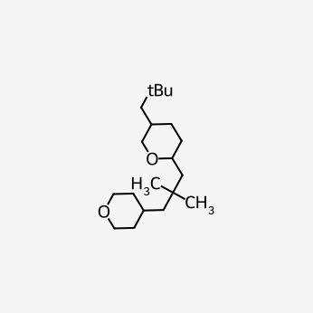 CC(C)(C)CC1CCC(CC(C)(C)CC2CCOCC2)OC1